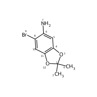 CC1(C)Oc2cc(N)c(Br)cc2O1